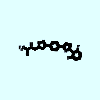 O=C(NCC1CC(c2ccc(-c3coc(-c4c(F)cccc4F)n3)cc2)=NO1)C(F)(F)F